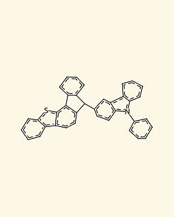 c1ccc(-n2c3ccccc3c3cc(C4c5ccccc5-c5c4ccc4c5sc5ccccc54)ccc32)cc1